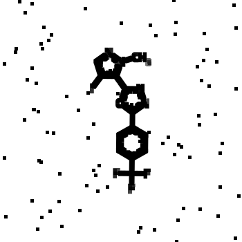 Cn1ncc(I)c1-c1nnc(-c2ccc(C(F)(F)F)cc2)o1